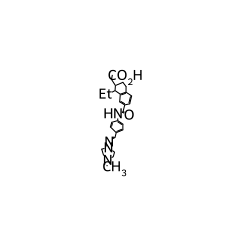 CCC1c2cc(C(=O)Nc3ccc(C=NN4CCN(C)CC4)cc3)ccc2CCC1CC(=O)O